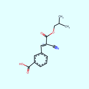 CC(C)COC(=O)/C(C#N)=C/c1cccc(C(=O)O)c1